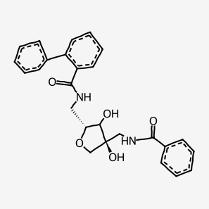 O=C(NC[C@]1(O)CO[C@H](CNC(=O)c2ccccc2-c2ccccc2)C1O)c1ccccc1